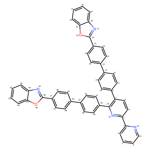 c1ccc(-c2ccc(-c3ccc(-c4ccc(-c5nc6ccccc6o5)cc4)cc3)c(-c3ccc(-c4ccc(-c5nc6ccccc6o5)cc4)cc3)n2)nc1